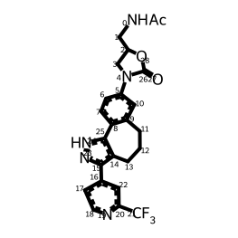 CC(=O)NCC1CN(c2ccc3c(c2)CCCc2c(-c4ccnc(C(F)(F)F)c4)n[nH]c2-3)C(=O)O1